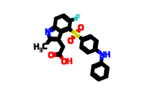 CC1=C(CC(=O)O)C2=C(S(=O)(=O)c3ccc(Nc4ccccc4)cc3)C(F)=CCC2=N1